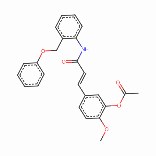 COc1ccc(C=CC(=O)Nc2ccccc2COc2ccccc2)cc1OC(C)=O